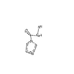 CCCNC(=O)n1ccnc1